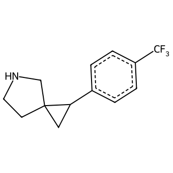 FC(F)(F)c1ccc(C2CC23CCNC3)cc1